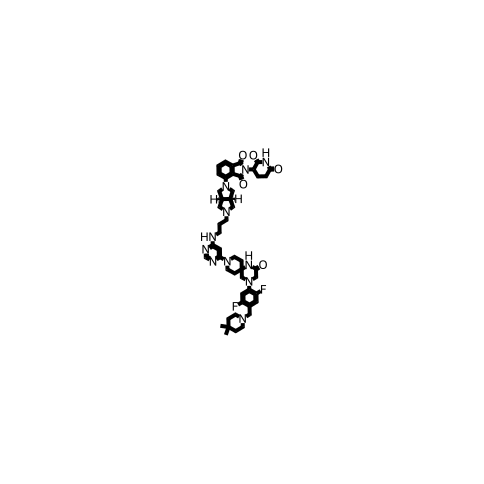 CC1(C)CCN(Cc2cc(F)c(N3CC(=O)NC4(CCN(c5cc(NCCCN6C[C@@H]7CN(c8cccc9c8C(=O)N(C8CCC(=O)NC8=O)C9=O)C[C@@H]7C6)ncn5)CC4)C3)cc2F)CC1